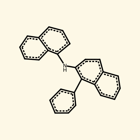 c1ccc(-c2c(Nc3cccc4ccccc34)ccc3ccccc23)cc1